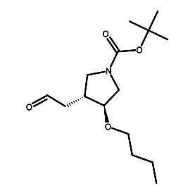 CCCCO[C@@H]1CN(C(=O)OC(C)(C)C)C[C@H]1CC=O